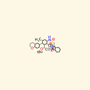 Cc1cc(NS(=O)(=O)Cc2noc3ccccc23)c(C)c(C(OC(C)(C)C)C(=O)O)c1-c1ccc2c(c1)CCCO2